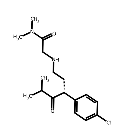 CC(C)C(=O)[C@H](CCNCC(=O)N(C)C)c1ccc(Cl)cc1